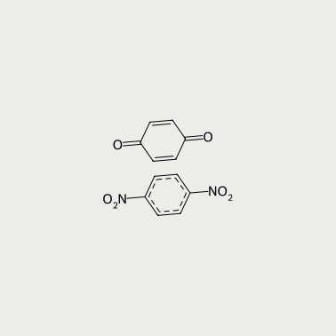 O=C1C=CC(=O)C=C1.O=[N+]([O-])c1ccc([N+](=O)[O-])cc1